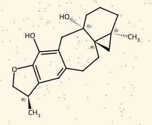 C[C@H]1COc2c1cc1c(c2O)C[C@@]2(O)CCC[C@@]3(C)C[C@]32CC1